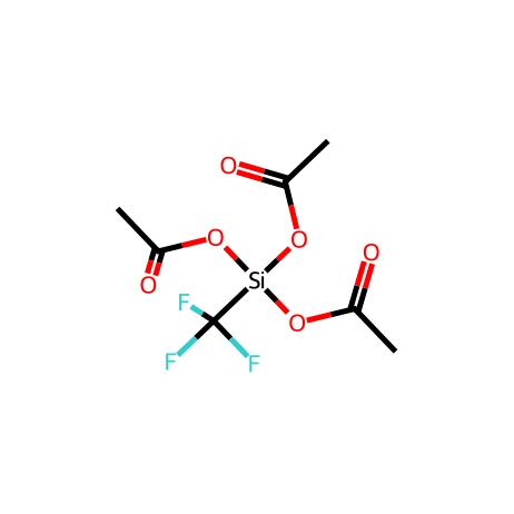 CC(=O)O[Si](OC(C)=O)(OC(C)=O)C(F)(F)F